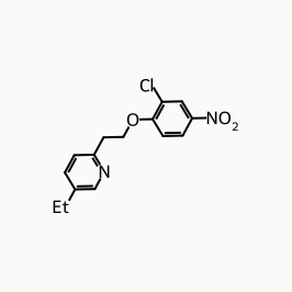 CCc1ccc(CCOc2ccc([N+](=O)[O-])cc2Cl)nc1